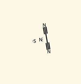 N#CC#N.[N].[S]